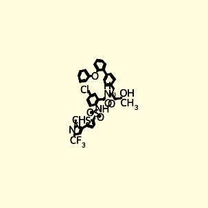 CC(O)C(=O)[C@H](Cc1ccc(-c2ccccc2Oc2ccccc2)cc1)NC(=O)c1cc(Cl)ccc1NS(=O)(=O)c1ccc(-c2cc(C(F)(F)F)nn2C)s1